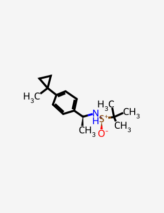 C[C@H](N[S@+]([O-])C(C)(C)C)c1ccc(C2(C)CC2)cc1